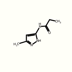 CCC(=O)Nc1cc(C)n[nH]1